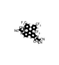 Cn1c(=C(C#N)C#N)nc2cc3c(-c4ccc(C(F)(F)F)cc4C(F)(F)F)c(-c4ccc(C(F)(F)F)cc4C(F)(F)F)c4c(ccc5nc(=C(C#N)C#N)n(C)c54)c3cc21